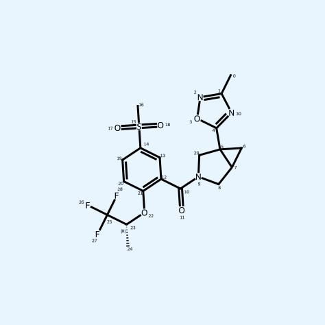 Cc1noc(C23CC2CN(C(=O)c2cc(S(C)(=O)=O)ccc2O[C@H](C)C(F)(F)F)C3)n1